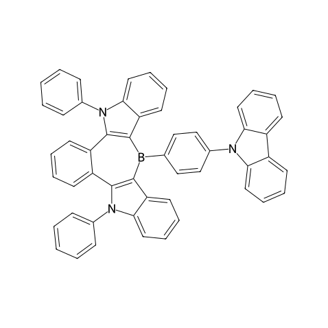 c1ccc(-n2c3c(c4ccccc42)B(c2ccc(-n4c5ccccc5c5ccccc54)cc2)c2c(n(-c4ccccc4)c4ccccc24)-c2ccccc2-3)cc1